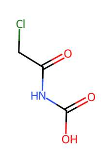 O=C(O)NC(=O)CCl